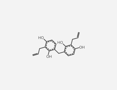 C=CCc1c(O)ccc(Cc2ccc(O)c(CC=C)c2O)c1O